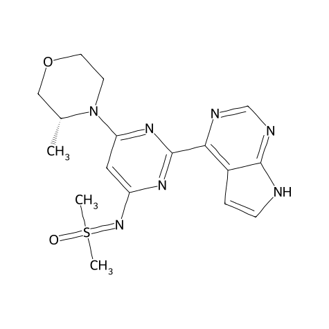 C[C@@H]1COCCN1c1cc(N=S(C)(C)=O)nc(-c2ncnc3[nH]ccc23)n1